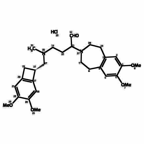 COc1cc2c(cc1OC)CCN(C(C=O)CCN(C)C[C@H]1Cc3cc(OC)c(OC)cc31)CC2.Cl